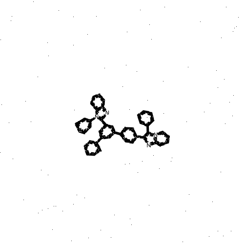 c1ccc(-c2cc(-c3ccc(-c4nc5ccccn5c4-c4ccccc4)cc3)cc(-c3nc4ccccc4n3-c3ccccc3)c2)cc1